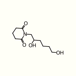 O=C1CCCC(=O)N1CC(O)CCCCO